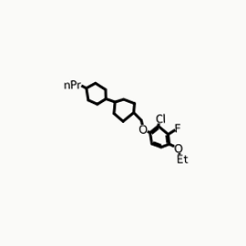 CCCC1CCC(C2CCC(COc3ccc(OCC)c(F)c3Cl)CC2)CC1